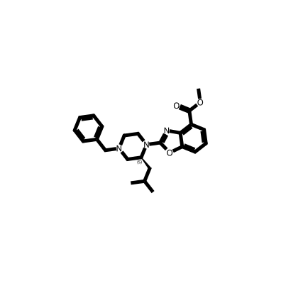 COC(=O)c1cccc2oc(N3CCN(Cc4ccccc4)C[C@@H]3CC(C)C)nc12